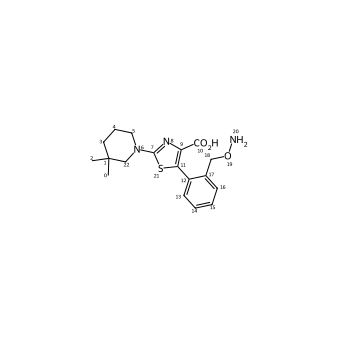 CC1(C)CCCN(c2nc(C(=O)O)c(-c3ccccc3CON)s2)C1